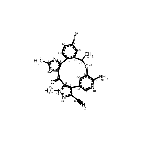 Cc1nc2c(s1)C(=O)c1c(c(C#N)nn1C)-c1cnc(N)c(c1)O[C@H](C)c1cc(F)ccc1-2